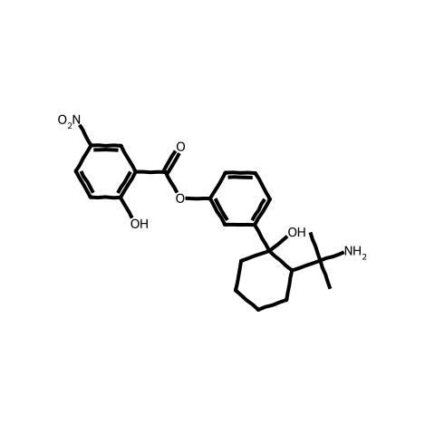 CC(C)(N)C1CCCCC1(O)c1cccc(OC(=O)c2cc([N+](=O)[O-])ccc2O)c1